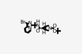 CC(C)(C)OC(=O)N1C[C@@H]2[C@H](C1)[C@H]2C(=O)NC(C)(C)c1nc(Br)c2ccccn12